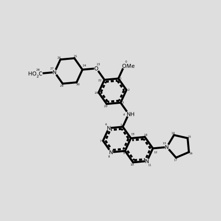 COc1cc(Nc2ncnc3cnc(N4CCCC4)cc23)ccc1OC1CCN(C(=O)O)CC1